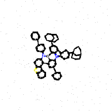 c1ccc(-c2ccc(N3B4c5c(cc(-c6ccccc6)cc5-n5c6ccc(C78CCCC(CCC7)C8)cc6c6cc(C78CCCC(CCC7)C8)cc4c65)-c4c3ccc3sc5ccccc5c43)cc2)cc1